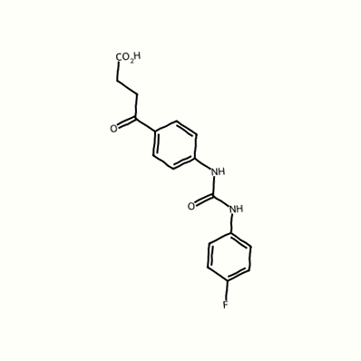 O=C(O)CCC(=O)c1ccc(NC(=O)Nc2ccc(F)cc2)cc1